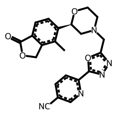 Cc1c([C@@H]2CN(Cc3nnc(-c4ccc(C#N)cn4)o3)CCO2)ccc2c1COC2=O